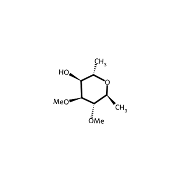 CO[C@@H]1[C@@H](OC)[C@@H](O)[C@H](C)O[C@H]1C